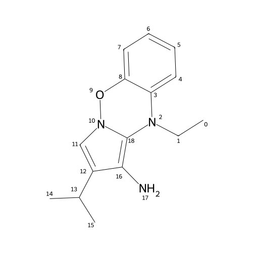 CCN1c2ccccc2On2cc(C(C)C)c(N)c21